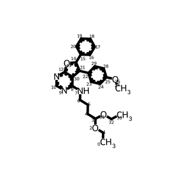 CCOC(CCCNc1ncnc2oc(-c3ccccc3)c(-c3ccc(OC)cc3)c12)OCC